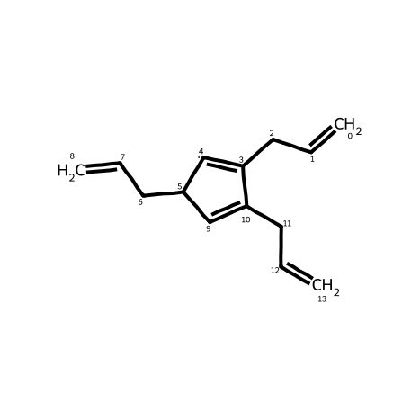 C=CCC1=[C]C(CC=C)C=C1CC=C